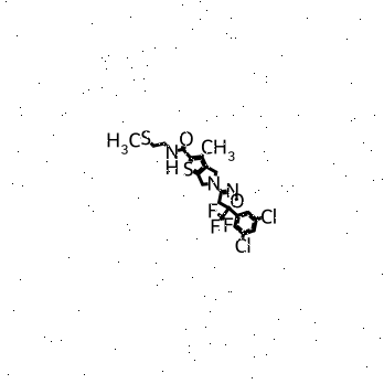 CSCCNC(=O)c1sc2c(c1C)CN(C1=NOC(c3cc(Cl)cc(Cl)c3)(C(F)(F)F)C1)C2